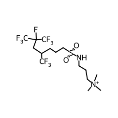 C[N+](C)(C)CCCNS(=O)(=O)CCCC(CC(F)(C(F)(F)F)C(F)(F)F)C(F)(F)F